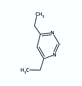 CCc1cc(CC)n[c]n1